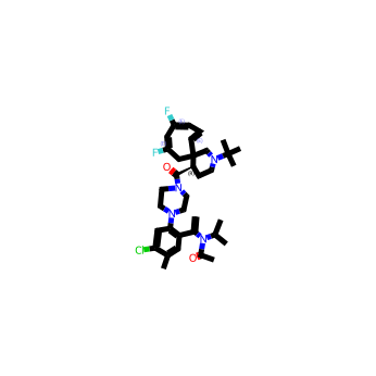 C=C(c1cc(C)c(Cl)cc1N1CCN(C(=O)[C@@H]2CCN(C(C)(C)C)CC23/C=C/C=C(F)\C=C(\F)C3)CC1)N(C(C)=O)C(C)C